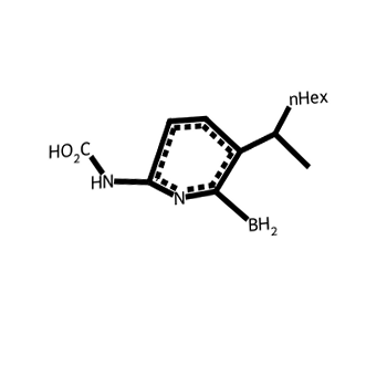 Bc1nc(NC(=O)O)ccc1C(C)CCCCCC